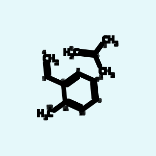 C=C(C)C.C=Cc1ccccc1C